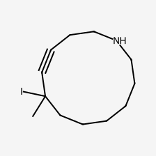 CC1(I)C#CCCNCCCCCC1